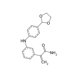 C=C(C(N)=O)c1cccc(Nc2ccc(C3OCCO3)cc2)c1